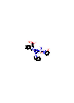 COc1ccccc1NC(=O)Nc1nc(N(CCC(=O)O)Cc2cccc(C)c2)nc(N2CCc3ccccc32)n1